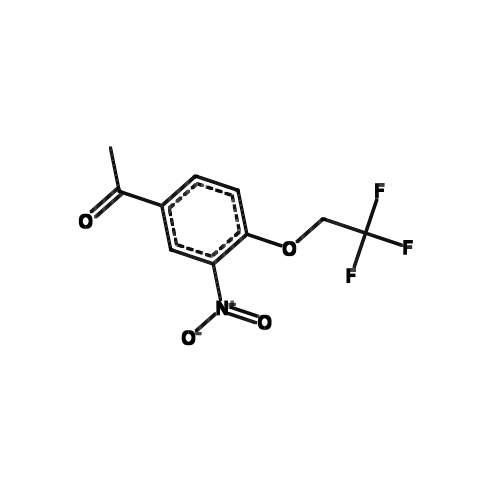 CC(=O)c1ccc(OCC(F)(F)F)c([N+](=O)[O-])c1